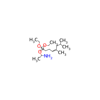 CCO[Si](CCC=C(C)CC(C)C)(OCC)OC(C)N